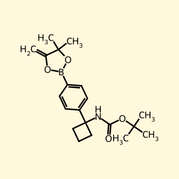 C=C1OB(c2ccc(C3(NC(=O)OC(C)(C)C)CCC3)cc2)OC1(C)C